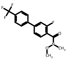 CON(C)C(=O)c1ccc(-c2ccc(C(F)(F)F)cc2)cc1F